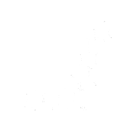 Nc1cc(Cc2ccccc2)ccc1NC(=O)C(=O)N1CCC(Cc2ccccc2)CC1